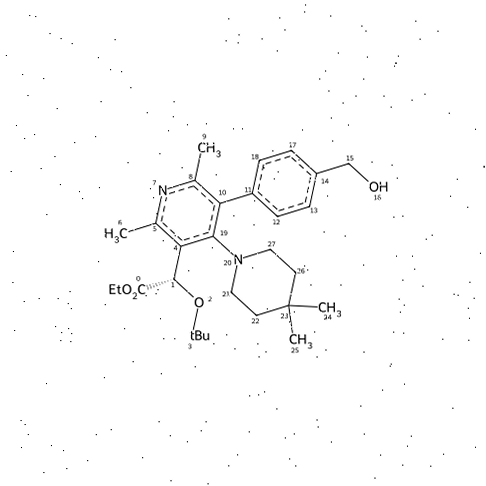 CCOC(=O)[C@@H](OC(C)(C)C)c1c(C)nc(C)c(-c2ccc(CO)cc2)c1N1CCC(C)(C)CC1